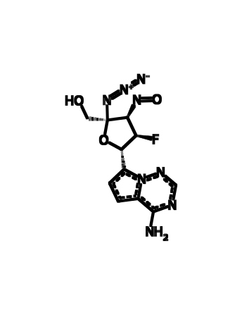 [N-]=[N+]=N[C@]1(CO)O[C@@H](c2ccc3c(N)ncnn23)[C@H](F)[C@@H]1N=O